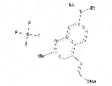 CCN(CC)c1ccc2c(/C=C/OC)cc(C(C)(C)C)[o+]c2c1.F[B-](F)(F)F